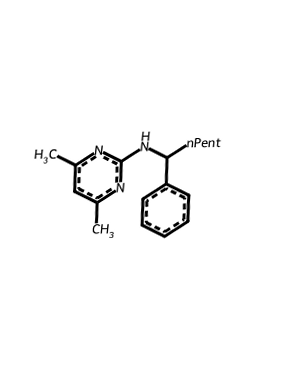 CCCCCC(Nc1nc(C)cc(C)n1)c1ccccc1